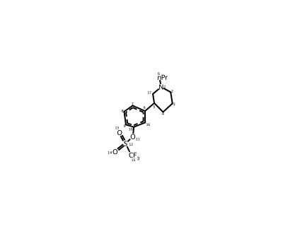 CCCN1CCCC(c2cccc(OS(=O)(=O)C(F)(F)F)c2)C1